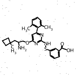 Cc1cccc(C)c1-c1cc(OCC(N)CC2(C)CCC2)nc(NSc2cccc(C(=O)O)c2)n1